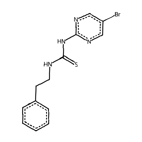 S=C(NCCc1ccccc1)Nc1ncc(Br)cn1